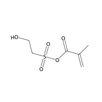 C=C(C)C(=O)OS(=O)(=O)CCO